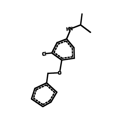 CC(C)Nc1ccc(OCc2ccccc2)c(Cl)c1